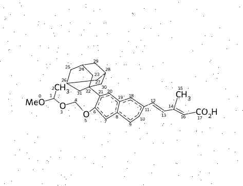 COC(C)OCOc1cc2ccc(/C=C/C(C)=C/C(=O)O)cc2cc1C12CC3CC(CC(C3)C1)C2